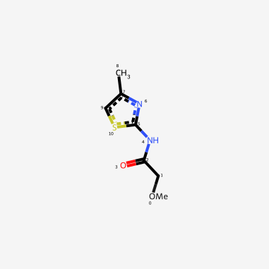 COCC(=O)Nc1nc(C)cs1